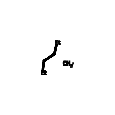 CCCCCC.[CH2]